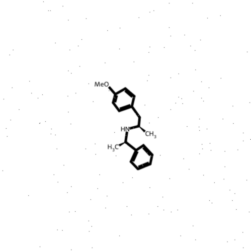 COc1ccc(C[C@@H](C)N[C@H](C)c2ccccc2)cc1